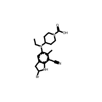 CCN(c1cc2c(c(C#N)c1C)NC(Br)C2)C1CCN(C(=O)O)CC1